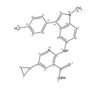 COC(=O)c1cc(C2CC2)cnc1Nc1ccc2c(c1)c(-c1ccc(C)cc1)cn2C